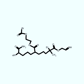 CCCC(CCCC(CCCC(C)(CC)C(=O)OCC=N)C(=O)OCCOC(=O)C(C)C)C(N)=O